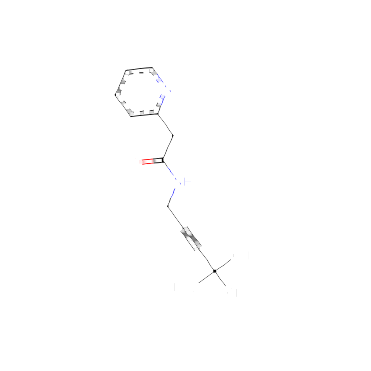 CC(C)(C)C#CCNC(=O)Cc1ccccn1